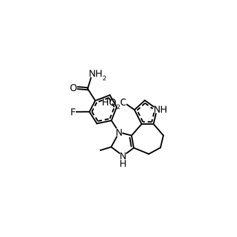 CC1NC2=C(c3c(C(=O)O)c[nH]c3CCC2)N1c1ccc(C(N)=O)c(F)c1